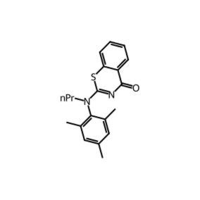 CCCN(c1nc(=O)c2ccccc2s1)c1c(C)cc(C)cc1C